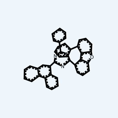 c1ccc(-c2nc(-c3cc4ccccc4c4ccccc34)nc(-c3cccc4oc5cccc(-c6ccccc6)c5c34)n2)cc1